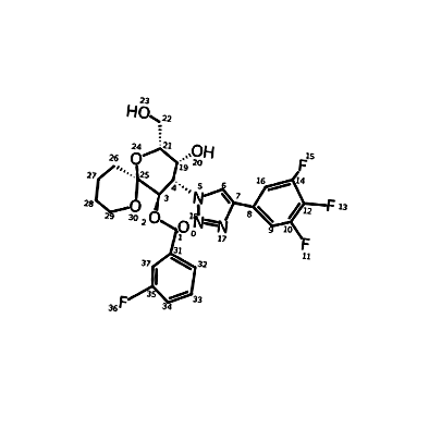 O=C(O[C@@H]1[C@@H](n2cc(-c3cc(F)c(F)c(F)c3)nn2)[C@@H](O)[C@@H](CO)O[C@@]12CCCCO2)c1cccc(F)c1